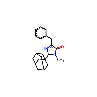 CN1C(=O)[C@H](Cc2ccccc2)NC1C12CC3CC(CC(C3)C1)C2